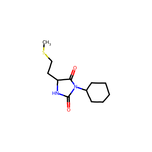 CSCCC1NC(=O)N(C2CCCCC2)C1=O